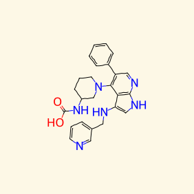 O=C(O)NC1CCCN(c2c(-c3ccccc3)cnc3[nH]cc(NCc4cccnc4)c23)C1